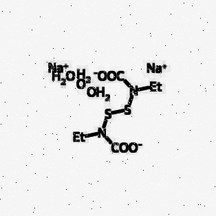 CCN(SSN(CC)C(=O)[O-])C(=O)[O-].O.O.O.[Na+].[Na+]